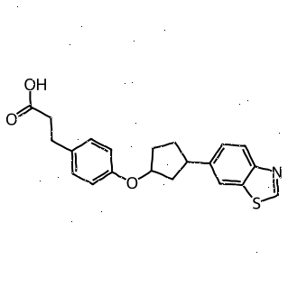 O=C(O)CCc1ccc(OC2CCC(c3ccc4ncsc4c3)C2)cc1